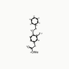 COC(=O)Cc1ccc(OCc2ccccc2)c(F)c1